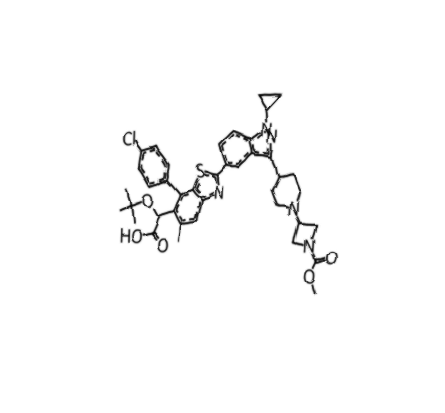 COC(=O)N1CC(N2CCC(c3nn(C4CC4)c4ccc(-c5nc6cc(C)c(C(OC(C)(C)C)C(=O)O)c(-c7ccc(Cl)cc7)c6s5)cc34)CC2)C1